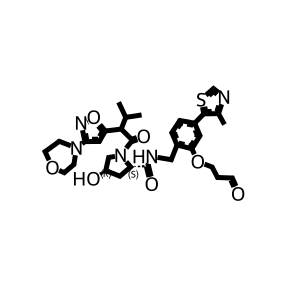 Cc1ncsc1-c1ccc(CNC(=O)[C@@H]2C[C@@H](O)CN2C(=O)C(c2cc(N3CCOCC3)no2)C(C)C)c(OCCC=O)c1